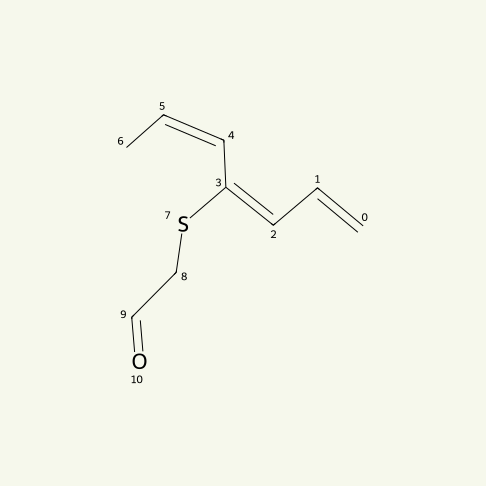 C=C/C=C(\C=C/C)SCC=O